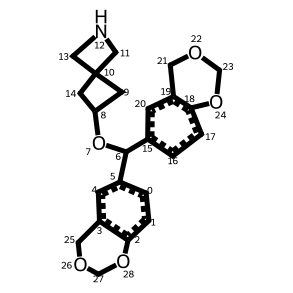 c1cc2c(cc1C(OC1CC3(CNC3)C1)c1ccc3c(c1)COCO3)COCO2